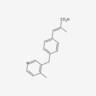 CC(=Cc1ccc(Cc2cnccc2C)cc1)C(=O)O